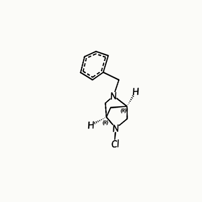 ClN1C[C@H]2C[C@@H]1CN2Cc1ccccc1